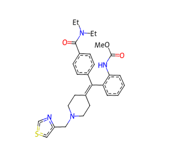 CCN(CC)C(=O)c1ccc(C(=C2CCN(Cc3cscn3)CC2)c2ccccc2NC(=O)OC)cc1